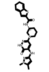 Cc1cc(Nc2cc(N3CCC[C@@H](NC(=O)c4cc5c(s4)=CCCC=5)C3)n[nH]c2=O)nn1C